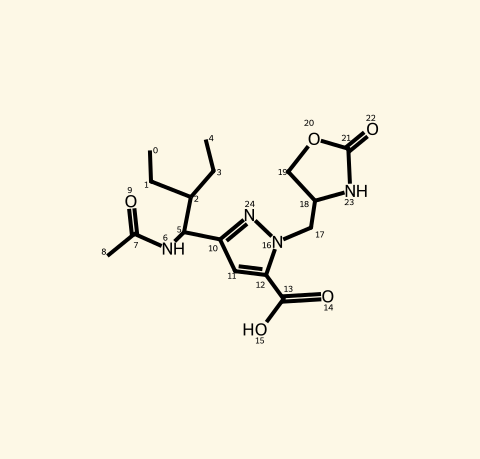 CCC(CC)C(NC(C)=O)c1cc(C(=O)O)n(CC2COC(=O)N2)n1